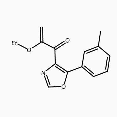 C=C(OCC)C(=O)c1ncoc1-c1cccc(C)c1